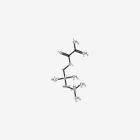 C=C(C)C(=O)OC[Si](C)(C)N[SiH](C)C